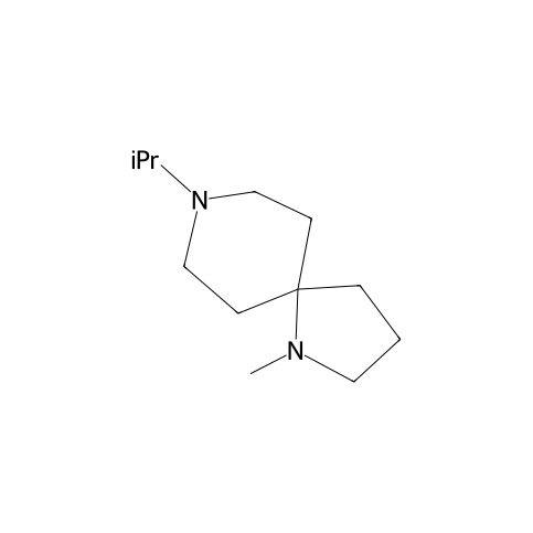 CC(C)N1CCC2(CCCN2C)CC1